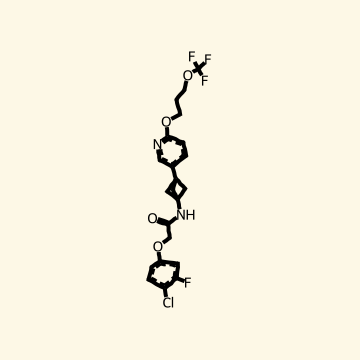 O=C(COc1ccc(Cl)c(F)c1)NC12CC(c3ccc(OCCCOC(F)(F)F)nc3)(C1)C2